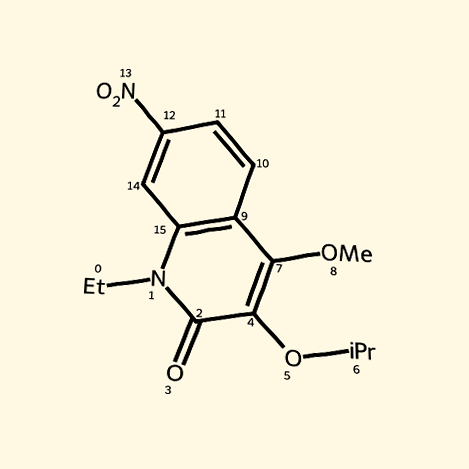 CCn1c(=O)c(OC(C)C)c(OC)c2ccc([N+](=O)[O-])cc21